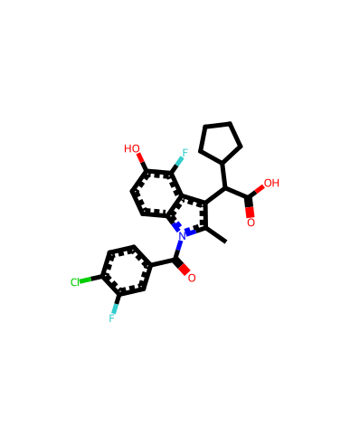 Cc1c(C(C(=O)O)C2CCCC2)c2c(F)c(O)ccc2n1C(=O)c1ccc(Cl)c(F)c1